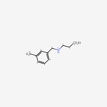 CCOC(=O)CCNCc1cccc([N+](=O)[O-])c1